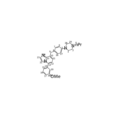 CCCN1CCN(c2ccc(Cc3ccc(-c4cccc(OC)c4)n4ccnc34)cc2)CC1